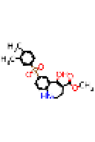 COC(=O)C1=C(O)c2cc(S(=O)(=O)c3ccc(C)c(C)c3)ccc2NCC1